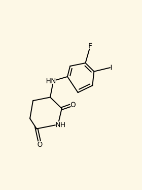 O=C1CCC(Nc2ccc(I)c(F)c2)C(=O)N1